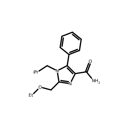 CCOCc1nc(C(N)=O)c(-c2ccccc2)n1CC(C)C